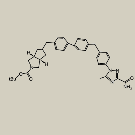 Cc1nc(C(N)=O)nn1-c1ccc(Cc2ccc(-c3ccc(CC4C[C@@H]5CN(C(=O)OC(C)(C)C)C[C@@H]5C4)cc3)cc2)cc1